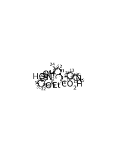 CC[C@@H]1CN(Cc2cc(C(CC(=O)O)c3ccc4c(c3)CN(C)C4)ccc2C)S(O)(O)c2ccccc2O1